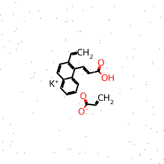 C=CC(=O)[O-].C=Cc1ccc2ccccc2c1C=CC(=O)O.[K+]